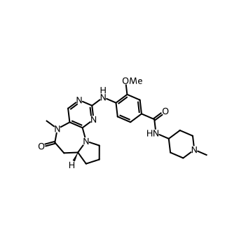 COc1cc(C(=O)NC2CCN(C)CC2)ccc1Nc1ncc2c(n1)N1CCC[C@@H]1CC(=O)N2C